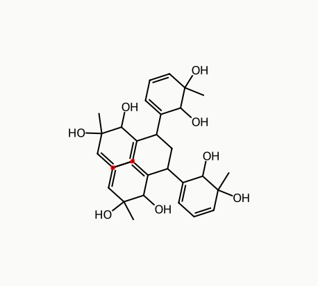 CC1(O)C=CC=C(C(CC(C2=CC=CC(C)(O)C2O)C2=CC=CC(C)(O)C2O)C2=CC=CC(C)(O)C2O)C1O